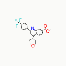 COC(=O)c1ccc2c(C3CCOCC3)cc(-c3ccc(C(F)(F)F)cc3)nc2c1